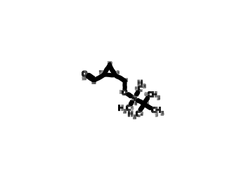 CC(C)(C)[Si](C)(C)OCC1CC1C=O